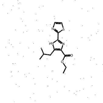 CCOC(=O)c1nc(-c2nccs2)[nH]c1CC(C)C